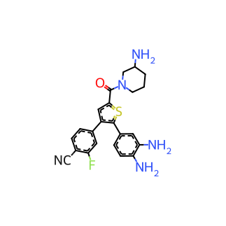 N#Cc1ccc(-c2cc(C(=O)N3CCCC(N)C3)sc2-c2ccc(N)c(N)c2)cc1F